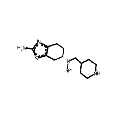 CCCN(CC1CCNCC1)[C@H]1CCc2nc(N)sc2C1